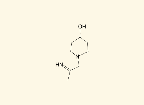 CC(=N)CN1CCC(O)CC1